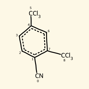 N#Cc1ccc(C(Cl)(Cl)Cl)cc1C(Cl)(Cl)Cl